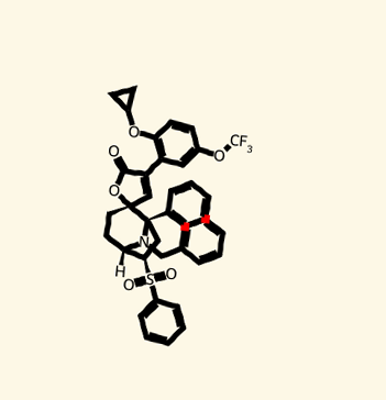 O=C1O[C@@]2(C=C1c1cc(OC(F)(F)F)ccc1OC1CC1)CC[C@H]1[C@H](S(=O)(=O)c3ccccc3)C[C@]2(c2ccccc2)N1Cc1ccccc1